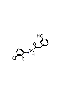 O=C(Cc1cccc(O)c1)N/N=C/c1cccc(Cl)c1Cl